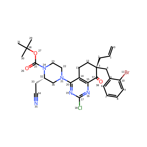 C=CC[C@]1(Cc2ccccc2Br)CCc2c(nc(Cl)nc2N2CCN(C(=O)OC(C)(C)C)[C@@H](CC#N)C2)C1=O